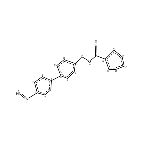 N=Nc1ccc(-c2ccc(COC(=O)c3ccccc3)cc2)cc1